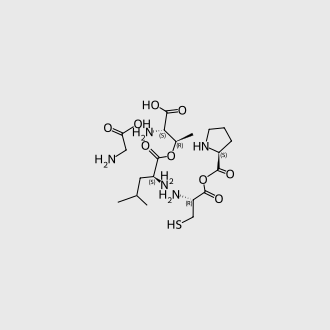 CC(C)C[C@H](N)C(=O)O[C@H](C)[C@H](N)C(=O)O.NCC(=O)O.N[C@@H](CS)C(=O)OC(=O)[C@@H]1CCCN1